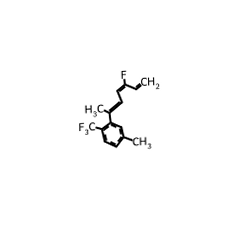 C=C/C(F)=C\C=C(/C)c1cc(C)ccc1C(F)(F)F